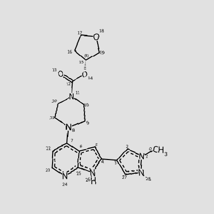 Cn1cc(-c2cc3c(N4CCN(C(=O)O[C@@H]5CCOC5)CC4)ccnc3[nH]2)cn1